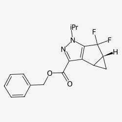 CC(C)n1nc(C(=O)OCc2ccccc2)c2c1C(F)(F)[C@@H]1CC21